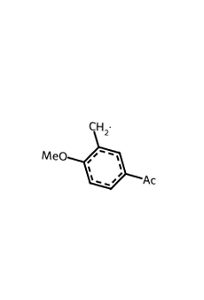 [CH2]c1cc(C(C)=O)ccc1OC